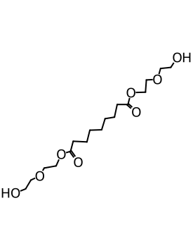 O=C(CCCCCCCC(=O)OCCOCCO)OCCOCCO